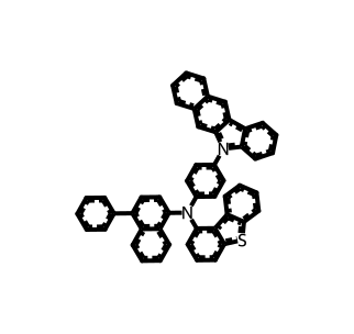 c1ccc(-c2ccc(N(c3ccc(-n4c5ccccc5c5cc6ccccc6cc54)cc3)c3cccc4sc5ccccc5c34)c3ccccc23)cc1